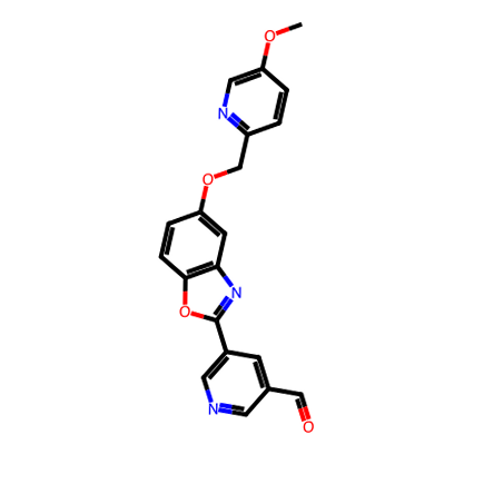 COc1ccc(COc2ccc3oc(-c4cncc(C=O)c4)nc3c2)nc1